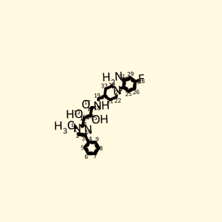 Cn1cc(-c2ccccc2)nc1[C@H](O)[C@@H](O)C(=O)NCC1CCN(c2ccc(F)cc2N)CC1